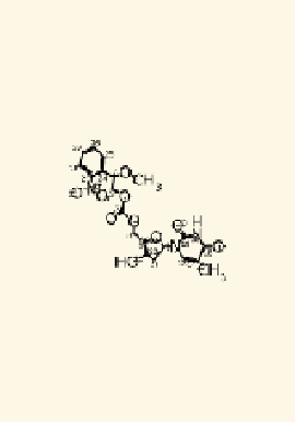 COC(COC(=O)OC[C@H]1O[C@@H](n2cc(C)c(=O)[nH]c2=O)CC1O)c1ccccc1[N+](=O)[O-]